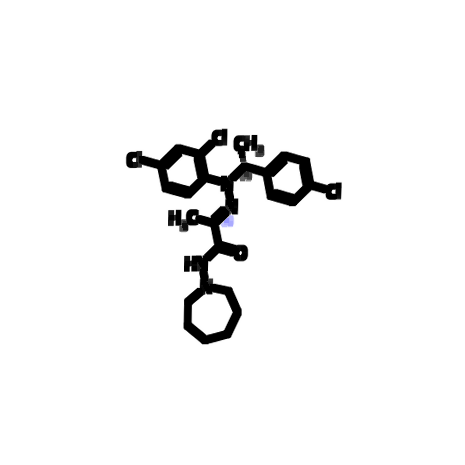 C/C(=N\N(c1ccc(Cl)cc1Cl)[C@H](C)c1ccc(Cl)cc1)C(=O)NN1CCCCCC1